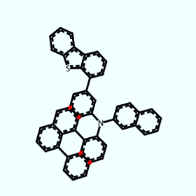 c1ccc(-c2cccc3cccc(-c4ccccc4N(c4cccc(-c5cccc6c5sc5ccccc56)c4)c4ccc5ccccc5c4)c23)cc1